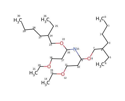 CCCCC(CC)COC(CCOCC)[N]C(CCOCC)OCC(CC)CCCC